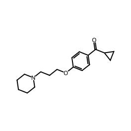 O=C(c1ccc(OCCCN2CCCCC2)cc1)C1CC1